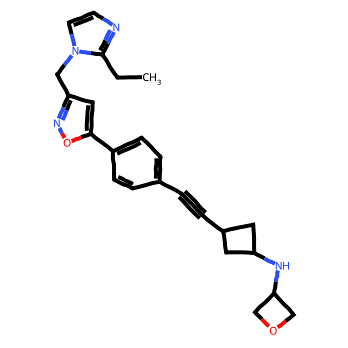 CCc1nccn1Cc1cc(-c2ccc(C#CC3CC(NC4COC4)C3)cc2)on1